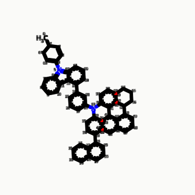 CC1C=CC(n2c3ccccc3c3c(-c4cccc(N(c5ccc(-c6cccc7ccccc67)cc5)c5ccccc5-c5cccc6cccc(C7CCCCC7)c56)c4)cccc32)=CC1